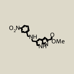 COC(=O)c1cc2cc(CNCc3cccc([N+](=O)[O-])c3)c[nH]c-2n1